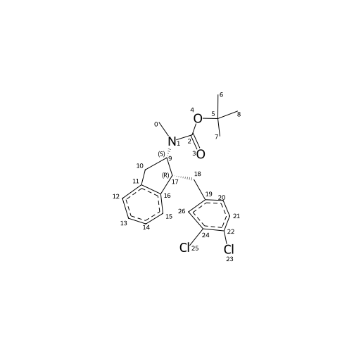 CN(C(=O)OC(C)(C)C)[C@H]1Cc2ccccc2[C@H]1Cc1ccc(Cl)c(Cl)c1